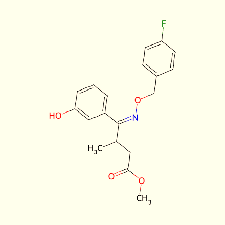 COC(=O)CC(C)C(=NOCc1ccc(F)cc1)c1cccc(O)c1